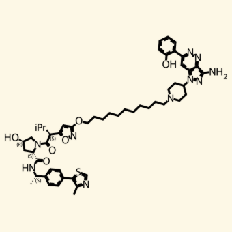 Cc1ncsc1-c1ccc([C@H](C)NC(=O)[C@@H]2C[C@@H](O)CN2C(=O)[C@H](c2cc(OCCCCCCCCCCCN3CCC(n4nc(N)c5nnc(-c6ccccc6O)cc54)CC3)no2)C(C)C)cc1